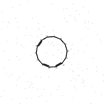 C1=CCCC=CCCCCCCC=C1